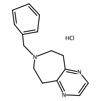 Cl.c1ccc(CN2CCc3nccnc3CC2)cc1